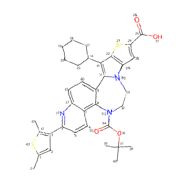 Cc1cc(-c2ccc3c4c(ccc3n2)-c2c(C3CCCCC3)c3sc(C(=O)O)cc3n2CCN4C(=O)OC(C)(C)C)c(C)s1